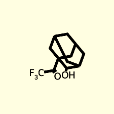 O=C(C(F)(F)F)C12CC3CC(CC(C3)C1O)C2